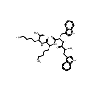 NCCCC[C@H](NC(=O)[C@H](CCCCN)NC(=O)[C@H](Cc1c[nH]c2ccccc12)NC(=O)[C@@H](N)Cc1c[nH]c2ccccc12)C(=O)O